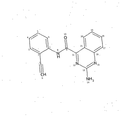 C#Cc1ccccc1NC(=O)c1nc(N)nc2ccccc12